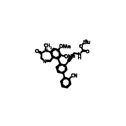 COc1cc2c(c(-c3ccc(-c4ccccc4C#N)cc3C#CCNC(=O)OC(C)(C)C)c1OC)C=NCC(=O)N2C